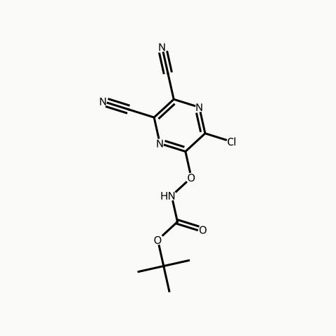 CC(C)(C)OC(=O)NOc1nc(C#N)c(C#N)nc1Cl